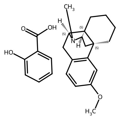 COc1ccc2c(c1)[C@]13CCCC[C@@H]1[C@H](C2)N(C)CC3.O=C(O)c1ccccc1O